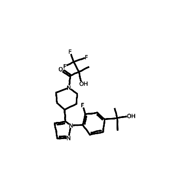 CC(C)(O)c1ccc(-n2nccc2C2CCN(C(=O)C(C)(O)C(F)(F)F)CC2)c(F)c1